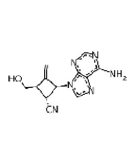 C=C1[C@@H](n2cnc3c(N)ncnc32)[C@H](C#N)[C@H]1CO